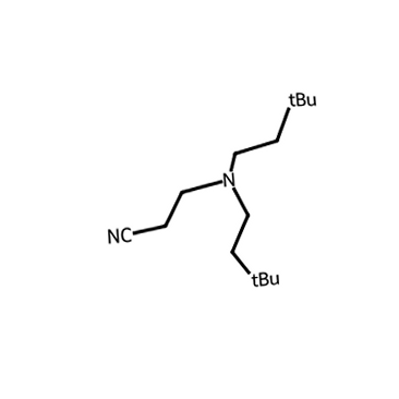 CC(C)(C)CCN(CCC#N)CCC(C)(C)C